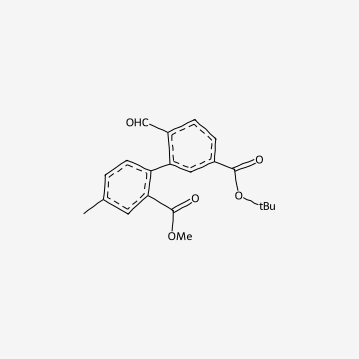 COC(=O)c1cc(C)ccc1-c1cc(C(=O)OC(C)(C)C)ccc1C=O